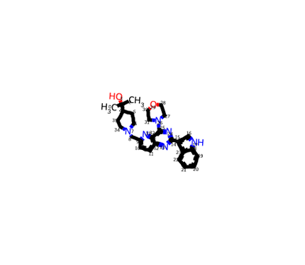 CC(C)(O)C1CCN(Cc2ccc3nc(-c4c[nH]c5ccccc45)nc(N4CCOCC4)c3n2)CC1